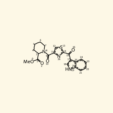 COC(=O)C1CCCCN1C(=O)c1csc(C(=O)c2c[nH]c3ccccc23)n1